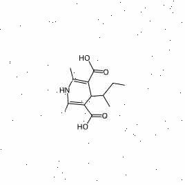 CCC(C)C1C(C(=O)O)=C(C)NC(C)=C1C(=O)O